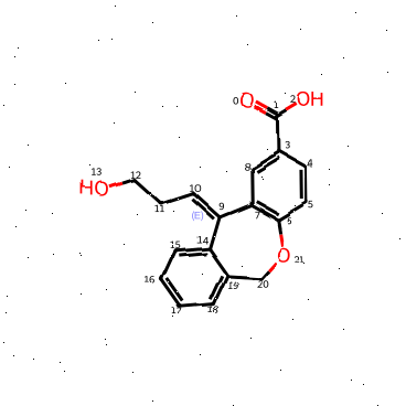 O=C(O)c1ccc2c(c1)/C(=C/CCO)c1ccccc1CO2